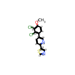 COc1ccc(-c2ccc(-c3cncs3)nc2)c(Cl)c1Cl